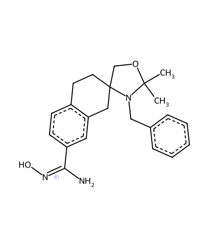 CC1(C)OCC2(CCc3ccc(/C(N)=N\O)cc3C2)N1Cc1ccccc1